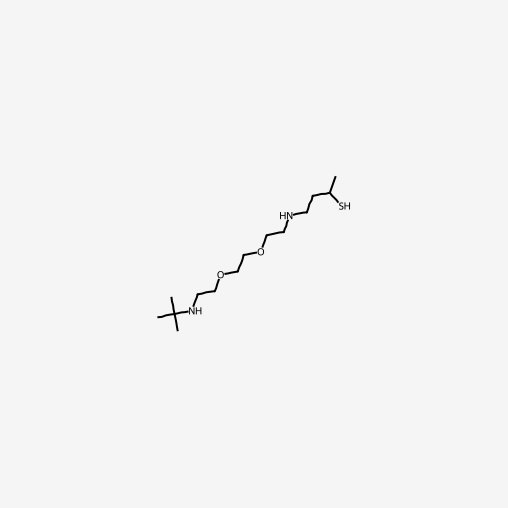 CC(S)CCNCCOCCOCCNC(C)(C)C